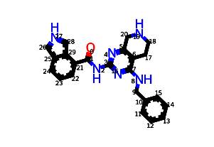 O=C(Nc1nc2c(c(NCc3ccccc3)n1)CCNC2)c1cccc2c[nH]cc12